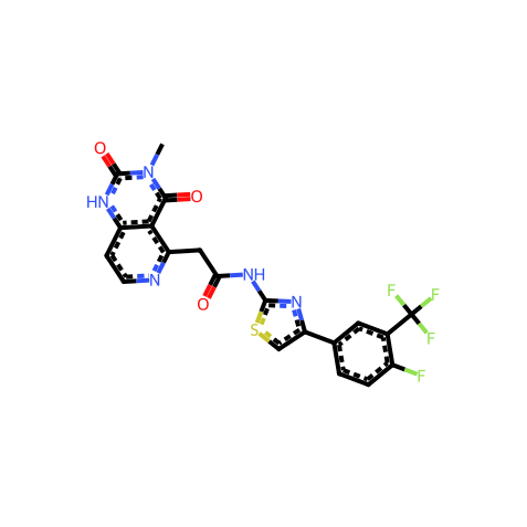 Cn1c(=O)[nH]c2ccnc(CC(=O)Nc3nc(-c4ccc(F)c(C(F)(F)F)c4)cs3)c2c1=O